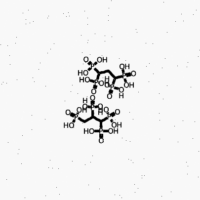 O=P(O)(O)C(CC(P(=O)(O)O)P(=O)(O)O)P(=O)(O)O.O=P(O)(O)CC(C(P(=O)(O)O)P(=O)(O)O)P(=O)(O)O